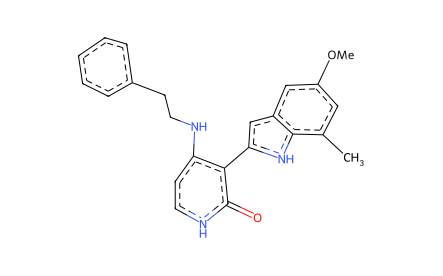 COc1cc(C)c2[nH]c(-c3c(NCCc4ccccc4)cc[nH]c3=O)cc2c1